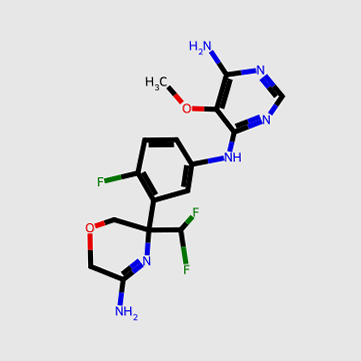 COc1c(N)ncnc1Nc1ccc(F)c(C2(C(F)F)COCC(N)=N2)c1